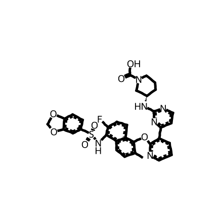 Cc1ccc2c(NS(=O)(=O)c3ccc4c(c3)OCO4)c(F)ccc2c1Oc1ncccc1-c1ccnc(N[C@H]2CCCN(C(=O)O)C2)n1